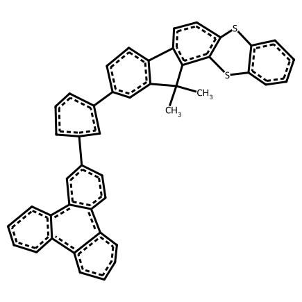 CC1(C)c2cc(-c3cccc(-c4ccc5c6ccccc6c6ccccc6c5c4)c3)ccc2-c2ccc3c(c21)Sc1ccccc1S3